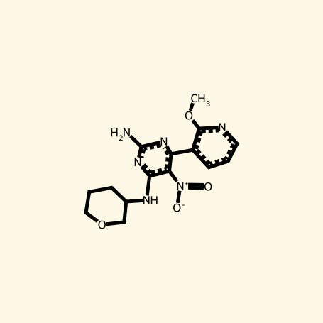 COc1ncccc1-c1nc(N)nc(NC2CCCOC2)c1[N+](=O)[O-]